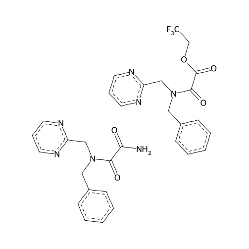 NC(=O)C(=O)N(Cc1ccccc1)Cc1ncccn1.O=C(OCC(F)(F)F)C(=O)N(Cc1ccccc1)Cc1ncccn1